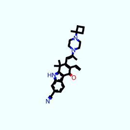 C=CC1=C(/C=C(\C)N2CCN(C3(C)CCC3)CC2)C(C)(C)c2[nH]c3cc(C#N)ccc3c2C1=O